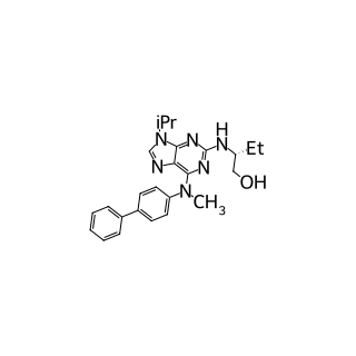 CC[C@H](CO)Nc1nc(N(C)c2ccc(-c3ccccc3)cc2)c2ncn(C(C)C)c2n1